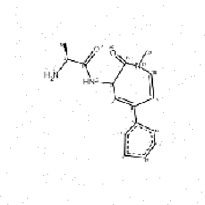 C[C@H](N)C(=O)NC1C=C(c2ccccc2)C=CN(C)C1=O